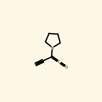 [C]#CC(=C=O)N1CCCC1